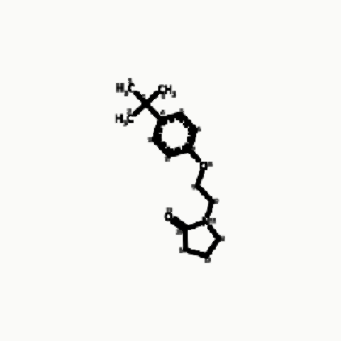 CC(C)(C)c1ccc(OCCN2CCCC2=O)cc1